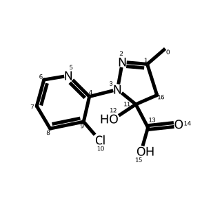 CC1=NN(c2ncccc2Cl)C(O)(C(=O)O)C1